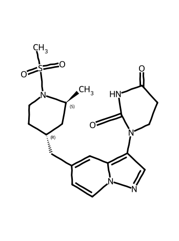 C[C@H]1C[C@H](Cc2ccn3ncc(N4CCC(=O)NC4=O)c3c2)CCN1S(C)(=O)=O